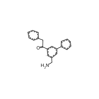 NCc1[c]c(C(=O)Cc2ccccc2)cc(-c2ccccc2)c1